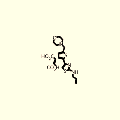 C=CCNc1nc(-c2ccc(CN3CCOCC3)s2)cs1.O=C(O)C=CC(=O)O